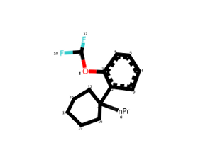 CCCC1(c2ccccc2OC(F)F)CCCCC1